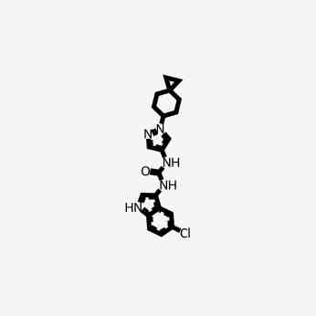 O=C(Nc1cnn(C2CCC3(CC2)CC3)c1)Nc1c[nH]c2ccc(Cl)cc12